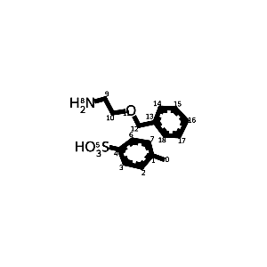 Cc1ccc(S(=O)(=O)O)cc1.NCCOCc1ccccc1